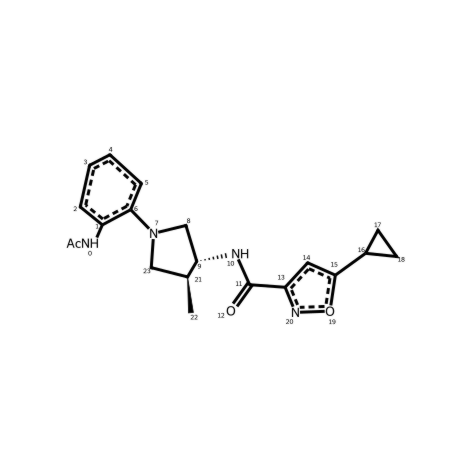 CC(=O)Nc1ccccc1N1C[C@H](NC(=O)c2cc(C3CC3)on2)[C@@H](C)C1